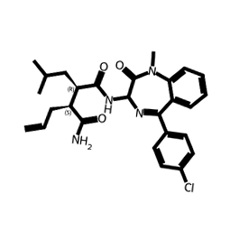 C=CC[C@H](C(N)=O)[C@@H](CC(C)C)C(=O)NC1N=C(c2ccc(Cl)cc2)c2ccccc2N(C)C1=O